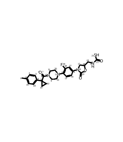 Cc1ccc(C2(C(=O)N3CCN(c4ccc(N5CC(CNC(=O)S)OC5=O)cc4F)CC3)CC2)cc1